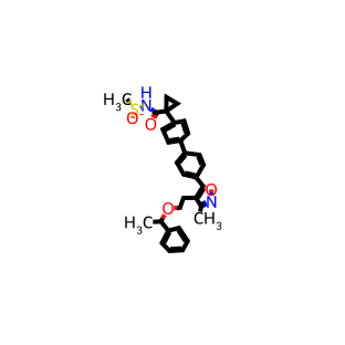 Cc1noc(-c2ccc(-c3ccc(C4(C(=O)N[S+](C)[O-])CC4)cc3)cc2)c1CCOC(C)c1ccccc1